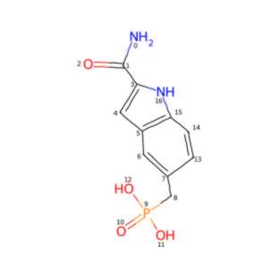 NC(=O)c1cc2cc(CP(=O)(O)O)ccc2[nH]1